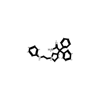 NC(=O)C(c1ccccc1)(c1ccccc1)C1CCN(CCOc2ccccc2)C1